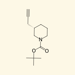 C#CC[C@@H]1CCCN(C(=O)OC(C)(C)C)C1